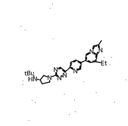 CCc1cc(-c2ccc(-c3cnc(N4CC[C@@H](NC(C)(C)C)C4)nn3)nc2)cn2cc(C)nc12